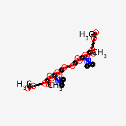 CCC1(COCCCCCCOc2ccc(C(=O)Oc3ccc(OC(=O)c4ccc(OCCCCOc5ccc(C(=O)Oc6ccc(OC(=O)c7ccc(OCCCCCCOCC8(CC)COC8)c(OC)c7)c(/C=N/N=C7c8ccccc8-c8ccccc87)c6)cc5)cc4)cc3/C=N/N=C3c4ccccc4-c4ccccc43)cc2OC)COC1